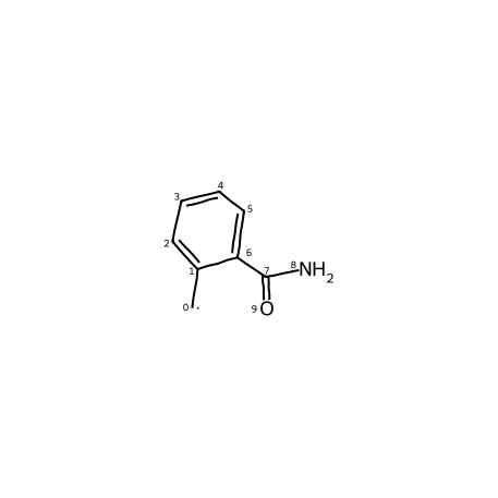 [CH2]c1ccccc1C(N)=O